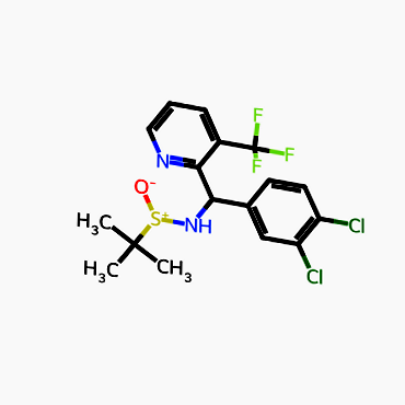 CC(C)(C)[S+]([O-])NC(c1ccc(Cl)c(Cl)c1)c1ncccc1C(F)(F)F